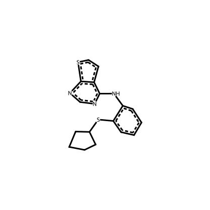 c1ccc(SC2CCCC2)c(Nc2ncnc3sccc23)c1